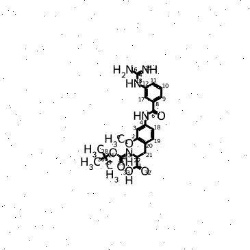 COc1cc(NC(=O)c2cccc(NC(=N)N)c2)ccc1CC(NC(=O)OC(C)(C)C)C(=O)O